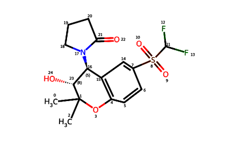 CC1(C)Oc2ccc(S(=O)(=O)C(F)F)cc2[C@H](N2CCCC2=O)[C@H]1O